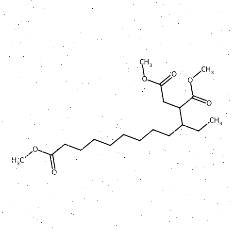 CCC(CCCCCCCCC(=O)OC)C(CC(=O)OC)C(=O)OC